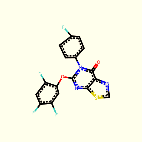 O=c1c2ncsc2nc(Oc2cc(F)c(F)cc2F)n1-c1ccc(F)cc1